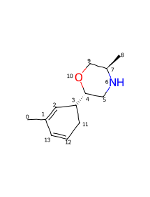 CC1=CC([C@H]2CN[C@H](C)CO2)CC=C1